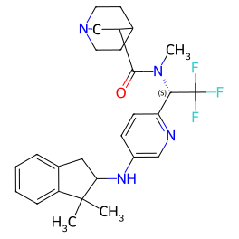 CN(C(=O)C1CN2CCC1CC2)[C@@H](c1ccc(NC2Cc3ccccc3C2(C)C)cn1)C(F)(F)F